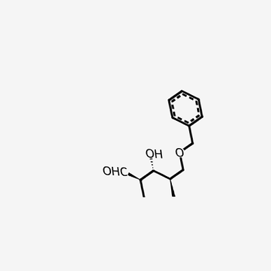 C[C@H](COCc1ccccc1)[C@@H](O)[C@@H](C)C=O